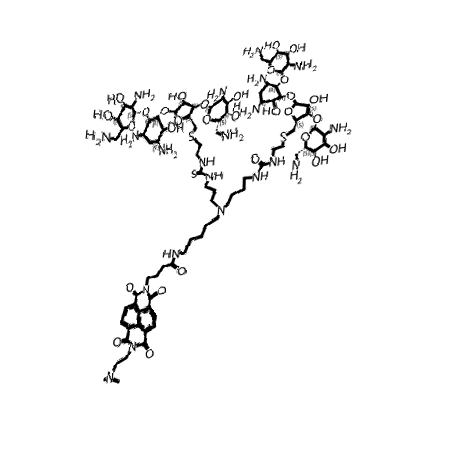 CN(C)CCN1C(=O)c2ccc3c4c(ccc(c24)C1=O)C(=O)N(CCCC(=O)NCCCCCN(CCCCNC(=O)NCCSC[C@H]1OC(O[C@@H]2C(O)[C@H](N)CC(N)[C@H]2O[C@@H]2OC(CN)[C@@H](O)[C@H](O)C2N)[C@@H](O)[C@H]1O[C@H]1O[C@@H](CN)[C@@H](O)C(O)C1N)CCCNC(=S)NCCSC[C@H]1OC(O[C@@H]2C(O)[C@H](N)CC(N)[C@H]2O[C@@H]2OC(CN)[C@@H](O)[C@H](O)C2N)[C@@H](O)[C@H]1O[C@H]1O[C@@H](CN)[C@@H](O)C(O)C1N)C3=O